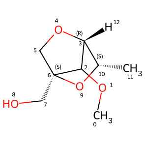 COC1[C@@H]2OC[C@]1(CO)O[C@H]2C